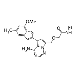 CCNC(=O)COCc1cc(-c2cc3cc(C)cc(OC)c3s2)c2c(N)ncnn12